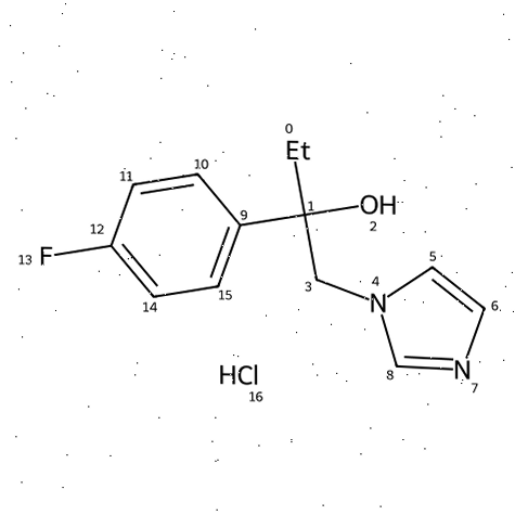 CCC(O)(Cn1ccnc1)c1ccc(F)cc1.Cl